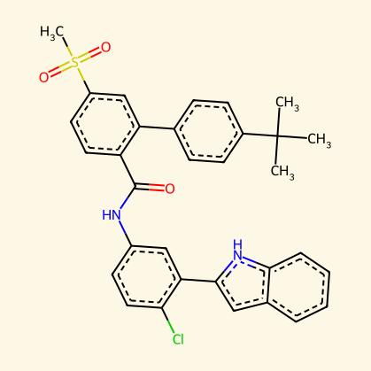 CC(C)(C)c1ccc(-c2cc(S(C)(=O)=O)ccc2C(=O)Nc2ccc(Cl)c(-c3cc4ccccc4[nH]3)c2)cc1